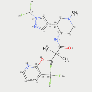 CN1CC[C@H](NC(=O)C(C)(C)COc2ncccc2C(F)(F)F)[C@H](c2cnn(C(F)F)c2)C1